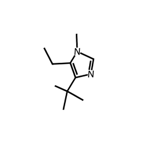 CCc1c(C(C)(C)C)ncn1C